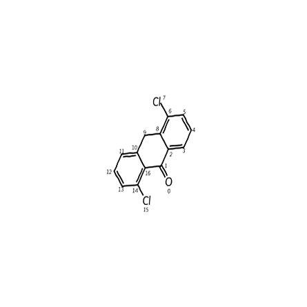 O=C1c2cccc(Cl)c2Cc2cccc(Cl)c21